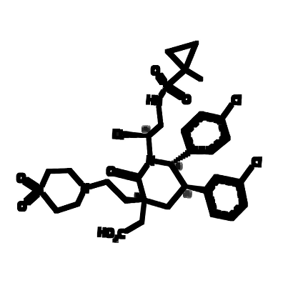 CC[C@@H](CNS(=O)(=O)C1(C)CC1)N1C(=O)[C@@](CCN2CCS(=O)(=O)CC2)(CC(=O)O)C[C@H](c2cccc(Cl)c2)[C@H]1c1ccc(Cl)cc1